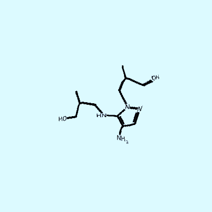 CC(CO)CNc1c(N)cnn1CC(C)CO